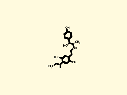 Cc1cc(NCC(=O)O)c(C)cc1CCN[C@@H](C)[C@@H](O)c1ccc(O)cc1